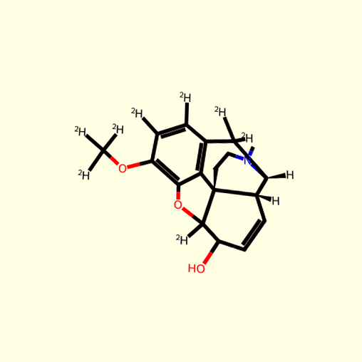 [2H]c1c([2H])c2c3c(c1OC([2H])([2H])[2H])OC1([2H])C(O)C=C[C@H]4[C@H](N(C)CC[C@@]341)C2([2H])[2H]